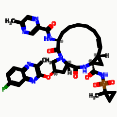 Cc1cnc(C(=O)N[C@H]2CCCCCC=C[C@@H]3C[C@@]3(C(=O)NS(=O)(=O)C3(C)CC3)NC(=O)[C@@H]3C[C@@H](Oc4nc5cc(F)ccc5nc4C)CN3C2=O)cn1